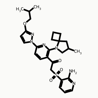 CC(C)COc1ccn(-c2ccc(C(=O)CS(=O)(=O)c3cccnc3N)c(N3CC(C)CC34CCC4)n2)n1